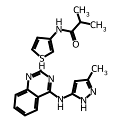 Cc1cc(Nc2nc([SH]3C=CC(NC(=O)C(C)C)=C3)nc3ccccc23)[nH]n1